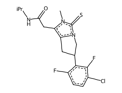 CC(C)NC(=O)Cc1c2n(c(=S)n1C)CC(c1c(F)ccc(Cl)c1F)C2